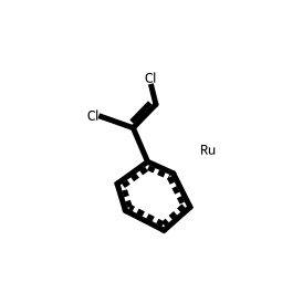 ClC=C(Cl)c1ccccc1.[Ru]